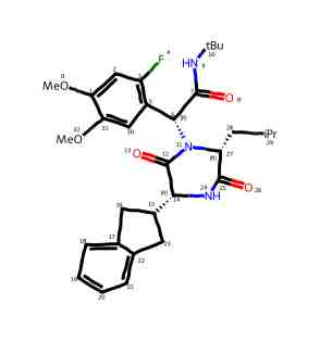 COc1cc(F)c([C@H](C(=O)NC(C)(C)C)N2C(=O)[C@@H](C3Cc4ccccc4C3)NC(=O)[C@H]2CC(C)C)cc1OC